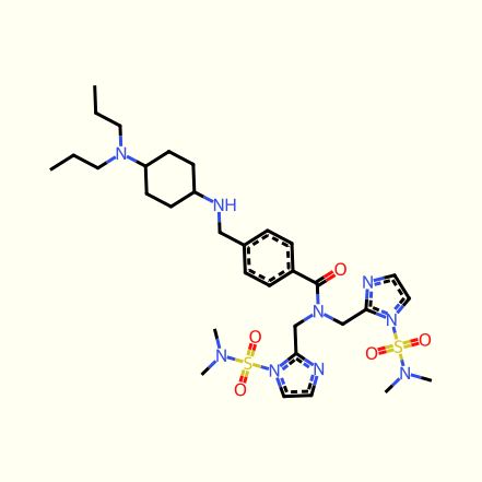 CCCN(CCC)C1CCC(NCc2ccc(C(=O)N(Cc3nccn3S(=O)(=O)N(C)C)Cc3nccn3S(=O)(=O)N(C)C)cc2)CC1